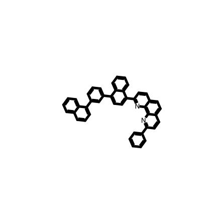 c1ccc(-c2ccc3ccc4ccc(-c5ccc(-c6cccc(-c7cccc8ccccc78)c6)c6ccccc56)nc4c3n2)cc1